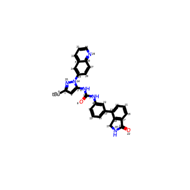 CC(C)(C)c1cc(NC(=O)Nc2cccc(-c3cccc4c3CNC4=O)c2)n(-c2ccc3ncccc3c2)n1